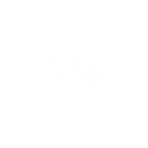 CS(C)=S(=O)(Oc1ccc(F)cc1)C(F)(F)F